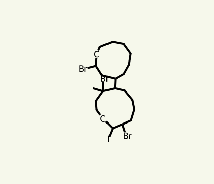 CC1(Br)CCCC(I)C(Br)CCCCC1C1CCCCCCCC(Br)C1